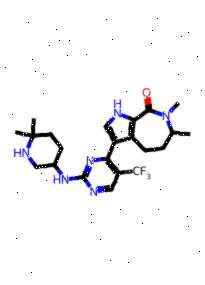 CC1CCc2c(-c3nc(NC4CCC(C)(C)NC4)ncc3C(F)(F)F)c[nH]c2C(=O)N1C